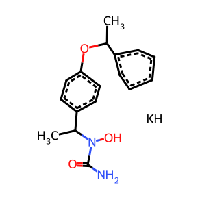 CC(Oc1ccc(C(C)N(O)C(N)=O)cc1)c1ccccc1.[KH]